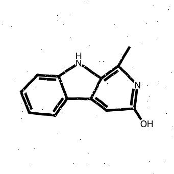 Cc1nc(O)cc2c1[nH]c1ccccc12